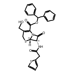 O=C(Cc1cccs1)N[C@H]1C(=O)N2C(C(=O)OC(c3ccccc3)c3ccccc3)=C(CO)CS[C@@H]12